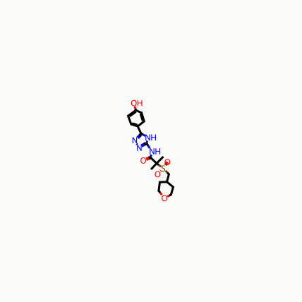 CC(C)(C(=O)Nc1nnc(-c2ccc(O)cc2)[nH]1)S(=O)(=O)CC1CCOCC1